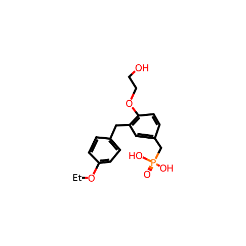 CCOc1ccc(Cc2cc(CP(=O)(O)O)ccc2OCCO)cc1